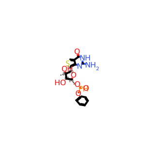 C[C@@]1(O)[C@H](O)[C@@H](CO[PH](=O)Oc2ccccc2)O[C@H]1c1scc2c(=O)[nH]c(N)nc12